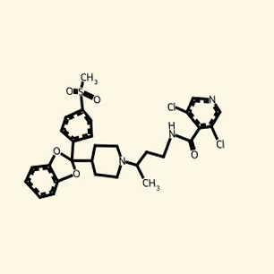 CC(CCNC(=O)c1c(Cl)cncc1Cl)N1CCC(C2(c3ccc(S(C)(=O)=O)cc3)Oc3ccccc3O2)CC1